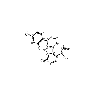 CCC(OC)c1ccc(Cl)c2nc3n(c12)CCCN3c1ccc(Cl)cc1Cl